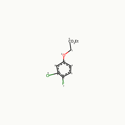 CCOC(=O)COc1ccc(F)c(Cl)c1